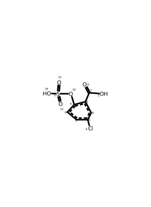 O=C(O)c1cc(Cl)ccc1OS(=O)(=O)O